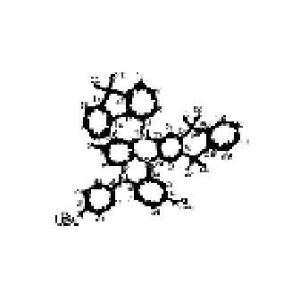 Cc1cc2c3c(c1)N(c1cccc4c1-c1ccccc1C4(C)C)c1cc4c(cc1B3c1cc(C(C)(C)C)ccc1N2c1ccc(C(C)(C)C)cc1)C(C)(C)c1ccccc1C4(C)C